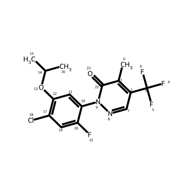 Cc1c(C(F)(F)F)cnn(-c2cc(OC(C)C)c(Cl)cc2F)c1=O